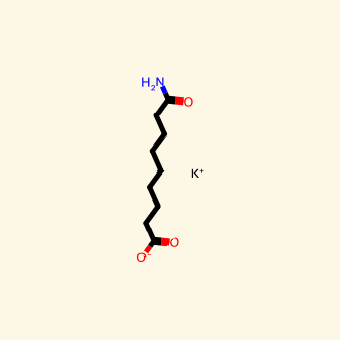 NC(=O)CCCCCCCC(=O)[O-].[K+]